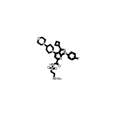 CC(=O)NCCS(=O)(=O)NC(=O)c1cc(N2CCC(N3CCOCC3)CC2)c2c(C3CCC3)nn(-c3ccc(F)cc3)c2n1